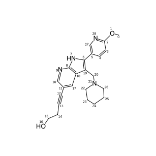 COc1ccc(-c2[nH]c3ncc(C#CCCO)cc3c2CN2CCCCC2)cn1